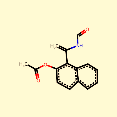 C=C(NC=O)c1c(OC(C)=O)ccc2ccccc12